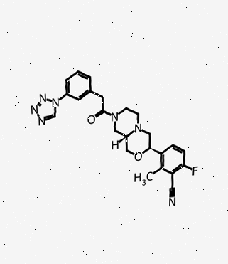 Cc1c([C@@H]2CN3CCN(C(=O)Cc4cccc(-n5cnnn5)c4)C[C@H]3CO2)ccc(F)c1C#N